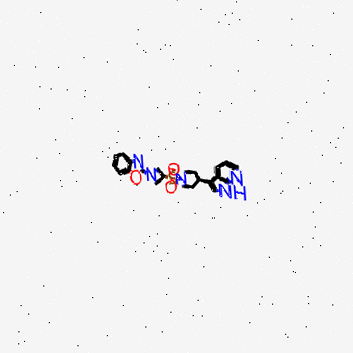 O=S(=O)(C1CN(c2nc3ccccc3o2)C1)N1CCC(c2c[nH]c3ncccc23)CC1